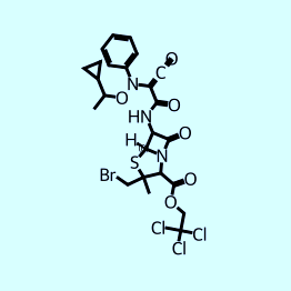 CC(ON(C(=C=O)C(=O)NC1C(=O)N2C(C(=O)OCC(Cl)(Cl)Cl)C(C)(CBr)S[C@H]12)c1ccccc1)C1CC1